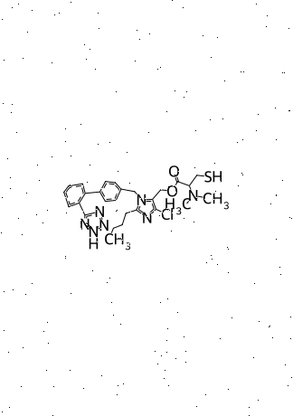 CCCCc1nc(Cl)c(COC(=O)C(CS)N(C)C)n1Cc1ccc(-c2ccccc2-c2nn[nH]n2)cc1